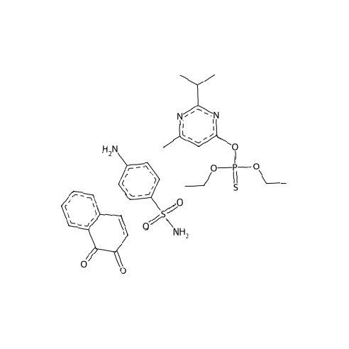 CCOP(=S)(OCC)Oc1cc(C)nc(C(C)C)n1.Nc1ccc(S(N)(=O)=O)cc1.O=C1C=Cc2ccccc2C1=O